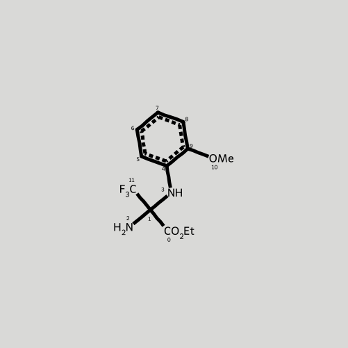 CCOC(=O)C(N)(Nc1ccccc1OC)C(F)(F)F